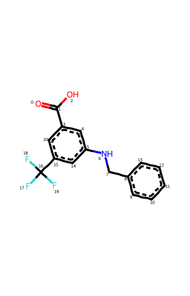 O=C(O)c1cc(NCc2ccccc2)cc(C(F)(F)F)c1